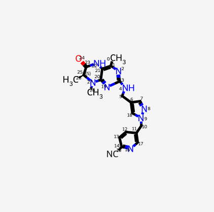 Cc1nc(NCc2cnn(Cc3ccc(C#N)nc3)c2)nc2c1NC(=O)[C@H](C)N2C